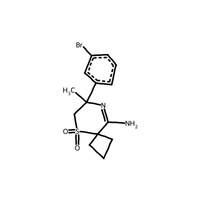 CC1(c2cccc(Br)c2)CS(=O)(=O)C2(CCC2)C(N)=N1